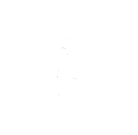 CCn1c(SCC(=O)Nc2ccccc2)nnc1-c1cncc2c1ncn2C